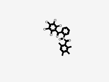 Cc1cc(C)c(C(=O)[P](=O)c2ccccc2C(=O)c2c(Cl)c(Cl)c(Cl)c(Cl)c2Cl)c(C)c1C